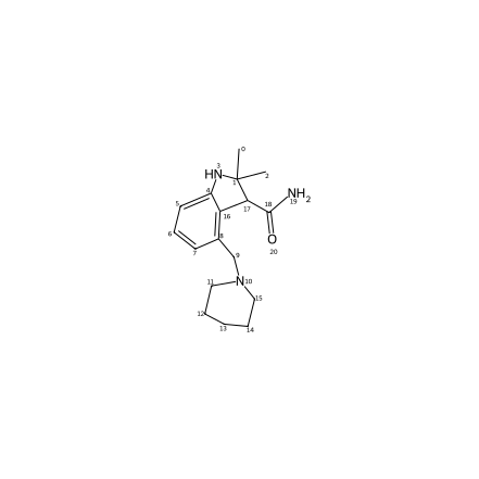 CC1(C)Nc2cccc(CN3CCCCC3)c2C1C(N)=O